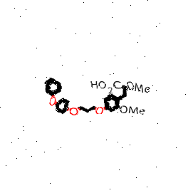 COc1cc(OCCCOc2ccc(Oc3ccccc3)cc2)ccc1CC(OC)C(=O)O